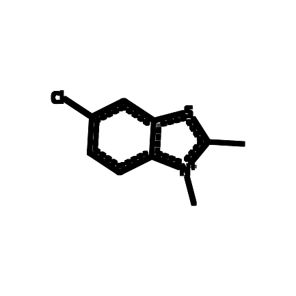 Cc1sc2cc(Cl)ccc2[n+]1C